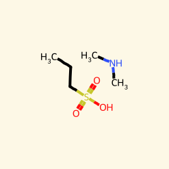 CCCS(=O)(=O)O.CNC